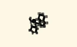 CCOC(C1=CCCC=C1)c1cccc2ccccc12